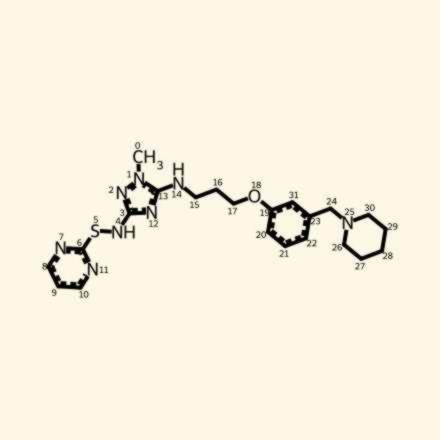 Cn1nc(NSc2ncccn2)nc1NCCCOc1cccc(CN2CCCCC2)c1